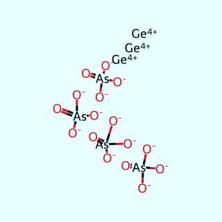 O=[As]([O-])([O-])[O-].O=[As]([O-])([O-])[O-].O=[As]([O-])([O-])[O-].O=[As]([O-])([O-])[O-].[Ge+4].[Ge+4].[Ge+4]